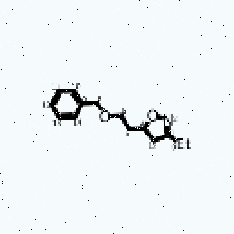 [CH2]CC1=NOC(CCOCc2ccccc2)C1